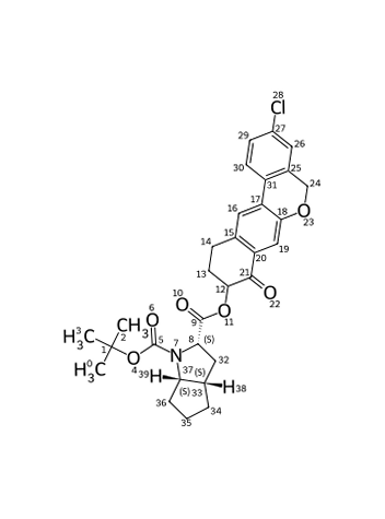 CC(C)(C)OC(=O)N1[C@H](C(=O)OC2CCc3cc4c(cc3C2=O)OCc2cc(Cl)ccc2-4)C[C@@H]2CCC[C@@H]21